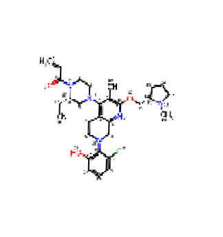 C=CC(=O)N1CCN(c2c(C#N)c(OC[C@@H]3CCCN3C)nc3c2CCN(c2c(O)cccc2F)C3)C[C@@H]1CC#N